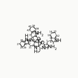 C[C@H](NC(=O)[C@H](N)Cc1c[nH]c2ccccc12)C(=O)N[C@@H](Cc1c[nH]c2ccccc12)C(=O)N[C@H](Cc1ccccc1)C(N)=O